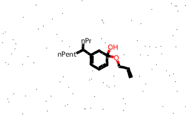 C=CCOC1(O)C=CC=C(C(CCC)CCCCC)C1